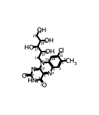 Cc1cc2nc3c(=O)[nH]c(=O)nc-3n(CC(O)C(O)C(O)CO)c2cc1Cl